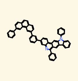 c1ccc(-c2ccc3ccc4ccc(-c5cccc(-c6ccc7c(c6)nc(-c6ccccc6)c6cc8c9ccccc9n(-c9ccccc9)c8cc67)c5)cc4c3c2)cc1